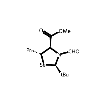 COC(=O)[C@@H]1[C@@H](C(C)C)[Se][C@H](C(C)(C)C)N1C=O